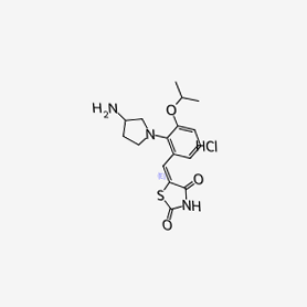 CC(C)Oc1cccc(/C=C2/SC(=O)NC2=O)c1N1CCC(N)C1.Cl